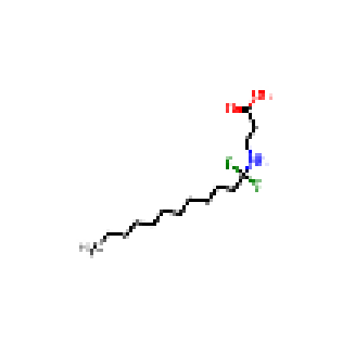 CCCCCCCCCCCC(F)(F)NCCC(=O)O